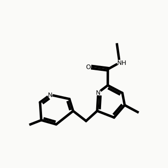 CNC(=O)c1cc(C)cc(Cc2cncc(C)c2)n1